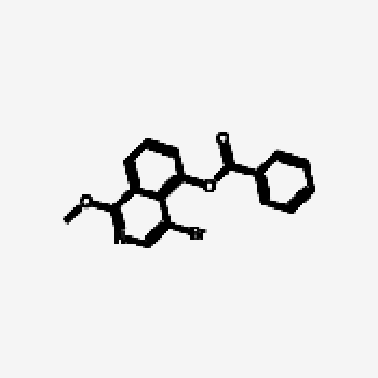 COc1ncc(Br)c2c(OC(=O)c3ccccc3)cccc12